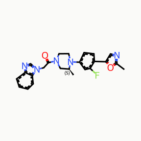 Cc1ncc(-c2ccc(N3CCN(C(=O)Cn4cnc5ccccc54)C[C@@H]3C)cc2F)o1